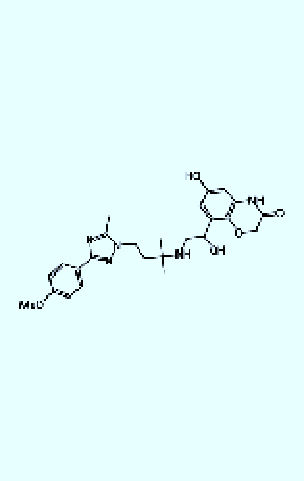 COc1ccc(-c2nc(C)n(CCC(C)(C)NCC(O)c3cc(O)cc4c3OCC(=O)N4)n2)cc1